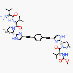 COC(=O)N[C@H](C(=O)N1C[C@@H](C)C[C@H]1c1nc(C#Cc2ccc(C#Cc3c[nH]c([C@@H]4C[C@H](C)CN4C(=O)[C@@H](NC(=O)[C@@H](N)C(C)C)C(C)C)n3)cc2)c[nH]1)C(C)C